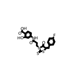 O=C(CCN1C(=O)/C(=C\c2ccc(F)cc2)SC1=S)Nc1ccc(C(=O)O)c(O)c1